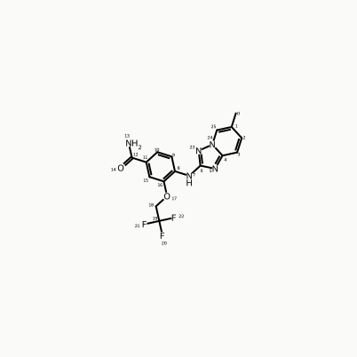 Cc1ccc2nc(Nc3ccc(C(N)=O)cc3OCC(F)(F)F)nn2c1